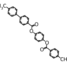 Cc1ccc(C(=O)Oc2ccc(OC(=O)c3ccc(-c4ccc(C)cc4)cc3)cc2)cc1